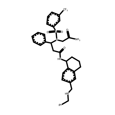 CC(C)CNCc1ccc2c(c1)CCCC2NC(=O)CC(c1ccccc1)N(CC(N)=O)S(=O)(=O)c1cccc(C(F)(F)F)c1